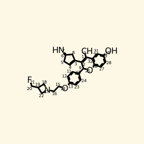 CC1=C(C2=CCC(=N)C2)C(c2ccc(OCCN3CC(CF)C3)cc2)Oc2ccc(O)cc21